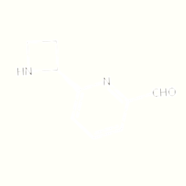 O=Cc1cccc([C@H]2CCN2)n1